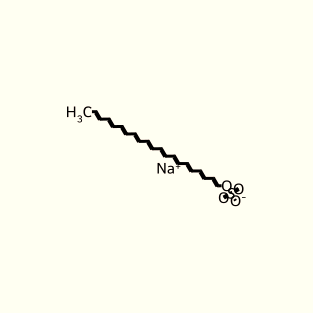 CC=CC=CC=CC=CC=CC=CC=CC=CC=CC=COS(=O)(=O)[O-].[Na+]